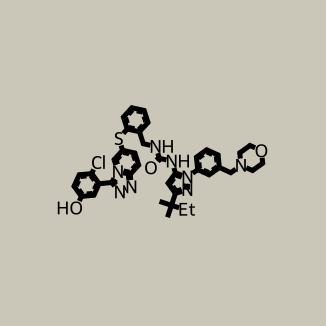 CCC(C)(C)c1cc(NC(=O)NCc2ccccc2Sc2ccc3nnc(-c4cc(O)ccc4Cl)n3c2)n(-c2cccc(CN3CCOCC3)c2)n1